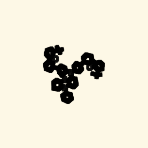 CC(C)(C)c1cccc2c1oc1c(-c3ccc(N4c5ccc(-c6cccc7c6oc6c(C(C)(C)C)cccc67)cc5B5c6ccccc6N(c6ccccc6)c6cccc4c65)cc3)cccc12